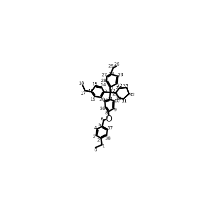 CCc1ccc(COc2ccc(C(c3ccc(CC)cc3)(c3ccc(CC)cc3)C3CCCCC3)cc2)cc1